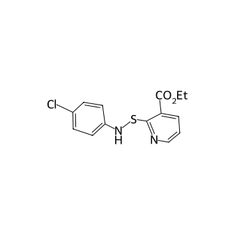 CCOC(=O)c1cccnc1SNc1ccc(Cl)cc1